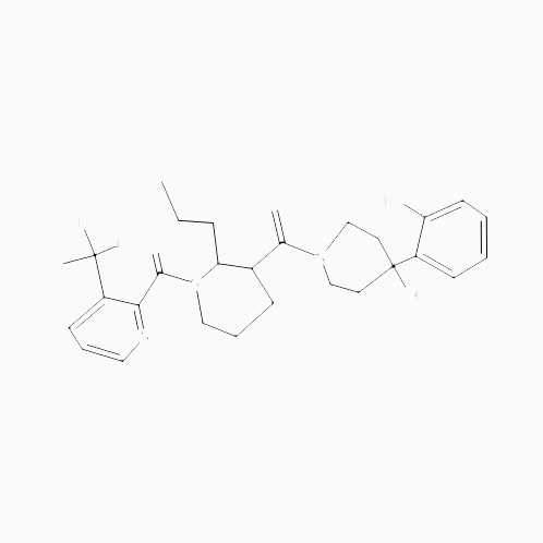 CCCC1C(C(=O)N2CCC(O)(c3ccccc3S)CC2)CCCN1C(=O)c1ncccc1C(F)(F)F